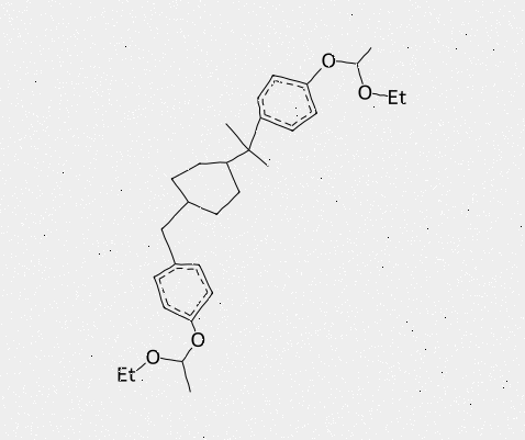 CCOC(C)Oc1ccc(CC2CCC(C(C)(C)c3ccc(OC(C)OCC)cc3)CC2)cc1